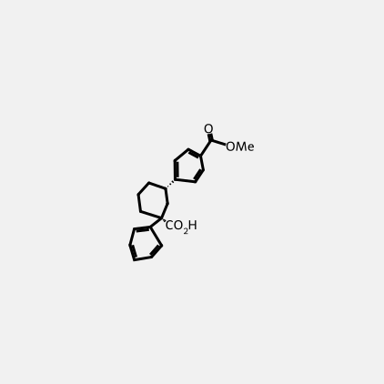 COC(=O)c1ccc([C@H]2CCC[C@](C(=O)O)(c3ccccc3)C2)cc1